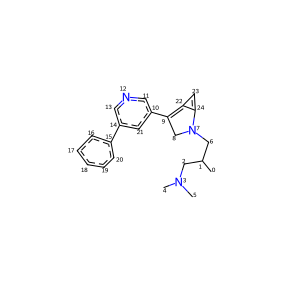 CC(CN(C)C)CN1CC(c2cncc(-c3ccccc3)c2)=C2C=C21